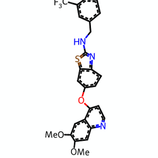 COc1cc2nccc(Oc3ccc4nc(NCc5cccc(C(F)(F)F)c5)sc4c3)c2cc1OC